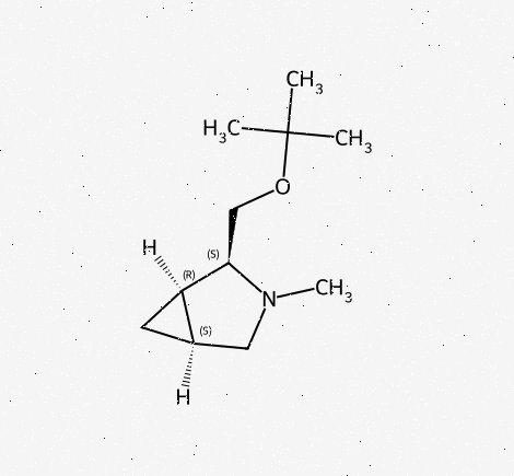 CN1C[C@H]2C[C@H]2[C@H]1COC(C)(C)C